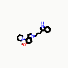 COc1ccc2c(ccn2CCCc2c[nH]c3ccccc23)c1N1CCCCC1